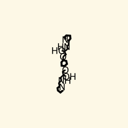 OC(CNCc1ccccn1)COc1ccc(OCC(O)CNCc2ccccn2)cc1